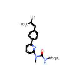 CCCCCCCNC(=O)N(C)c1cccc(-c2ccc(/C=C(/CC)C(=O)O)cc2)n1